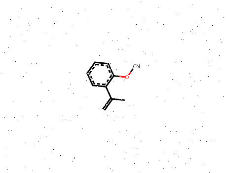 C=C(C)c1ccccc1OC#N